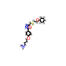 CN(C)CCCCOc1ccc(-c2nnc(CSCCOc3ccccc3)o2)cc1